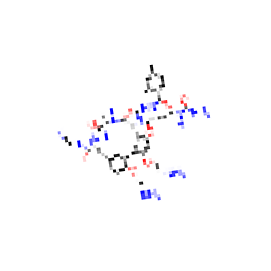 Cc1ccc(C(=O)N[C@@H](CCNC(N)=O)C(=O)N(C)[C@@H]2C(=O)N[C@@H](C)C(=O)N[C@H](C(=O)NCC#N)Cc3ccc(OCCN)c(c3)-c3cc2ccc3OCCN)c(C)c1